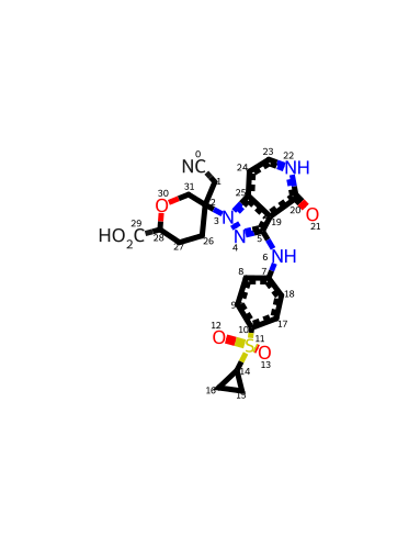 N#CCC1(n2nc(Nc3ccc(S(=O)(=O)C4CC4)cc3)c3c(=O)[nH]ccc32)CCC(C(=O)O)OC1